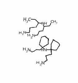 CCC(CCCN)NC(CC)CCCN.NCCCC1(NC2(CCCN)CCCCC2)CCCCC1